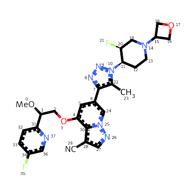 COC(COc1cc(-c2nnn([C@@H]3CCN(C4COC4)C[C@@H]3F)c2C)cn2ncc(C#N)c12)c1ccc(F)cn1